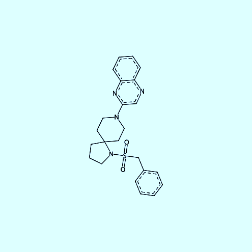 O=S(=O)(Cc1ccccc1)N1CCCC12CCN(c1cnc3ccccc3n1)CC2